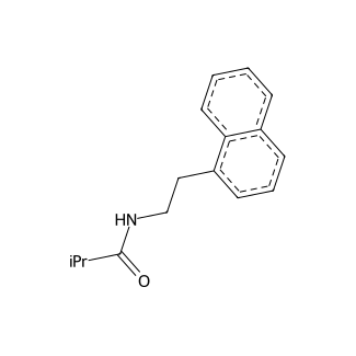 CC(C)C(=O)NCCc1cccc2ccccc12